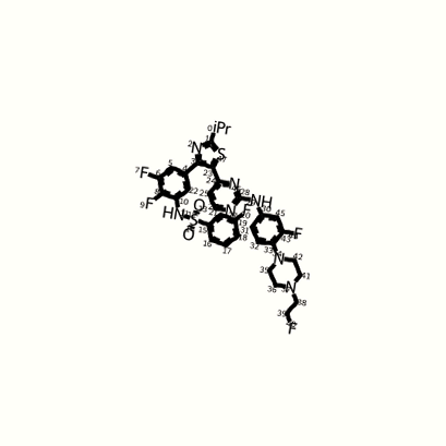 CC(C)c1nc(-c2cc(F)c(F)c(NS(=O)(=O)c3cccc(F)c3)c2)c(-c2ccnc(Nc3ccc(N4CCN(CCF)CC4)c(F)c3)n2)s1